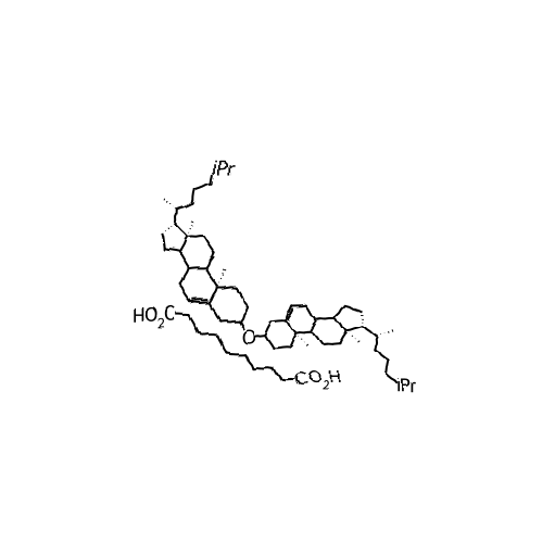 CC(C)CCC[C@@H](C)[C@H]1CCC2C3CC=C4CC(OC5CC[C@@]6(C)C(=CCC7C6CC[C@@]6(C)C7CC[C@@H]6[C@H](C)CCCC(C)C)C5)CC[C@]4(C)C3CC[C@@]21C.O=C(O)CCCCCCCCC(=O)O